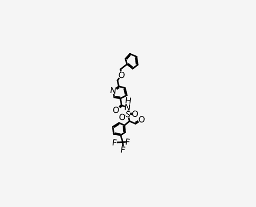 O=CC(c1cccc(C(F)(F)F)c1)S(=O)(=O)NC(=O)c1ccc(COCc2ccccc2)nc1